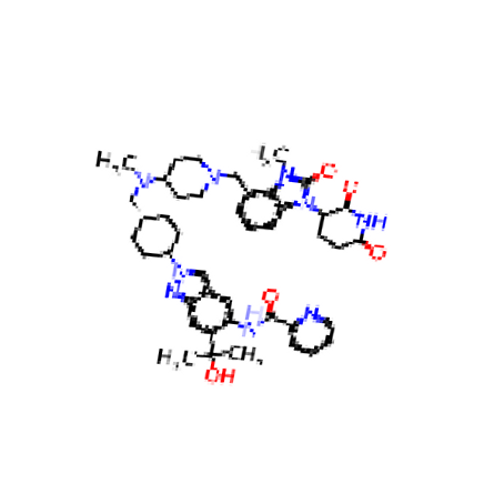 CN(C[C@H]1CC[C@H](n2cc3cc(NC(=O)c4ccccn4)c(C(C)(C)O)cc3n2)CC1)C1CCN(Cc2cccc3c2n(C)c(=O)n3C2CCC(=O)NC2=O)CC1